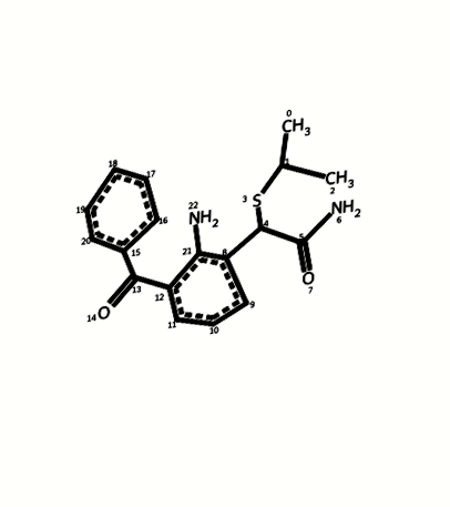 CC(C)SC(C(N)=O)c1cccc(C(=O)c2ccccc2)c1N